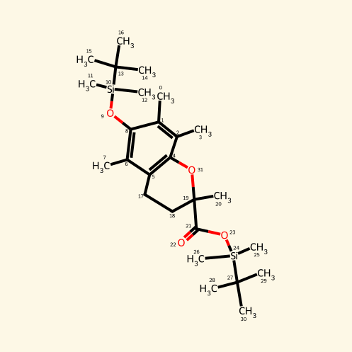 Cc1c(C)c2c(c(C)c1O[Si](C)(C)C(C)(C)C)CCC(C)(C(=O)O[Si](C)(C)C(C)(C)C)O2